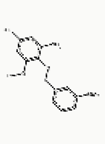 CCOc1cc(C=O)cc([N+](=O)[O-])c1OCc1cccc(OC)c1